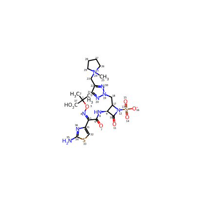 CC(C)(ON=C(C(=O)N[C@@H]1C(=O)N(S(=O)(=O)[O-])C1Cn1ncc(C[N+]2(C)CCCC2)n1)c1csc(N)n1)C(=O)O